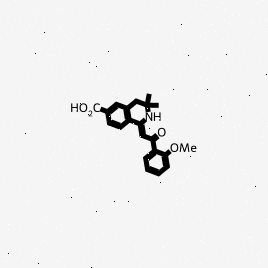 COc1ccccc1C(=O)C=C1NC(C)(C)Cc2cc(C(=O)O)ccc21